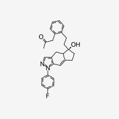 CC(=O)Cc1ccccc1CC[C@]1(O)CCC2=Cc3c(cnn3-c3ccc(F)cc3)CC21